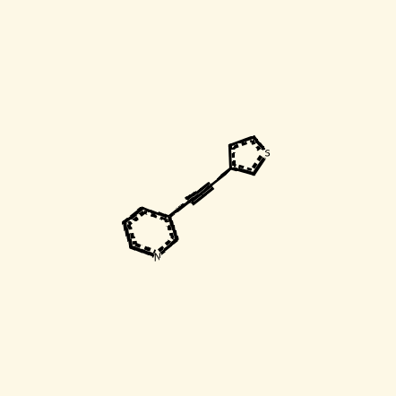 C(#Cc1ccsc1)c1cccnc1